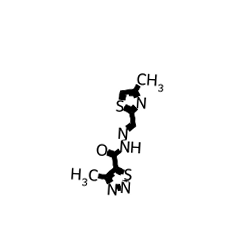 Cc1csc(/C=N/NC(=O)c2snnc2C)n1